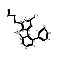 C=CCCc1nc(F)cc2c1[nH]c1cccc(-c3ccccc3)c12